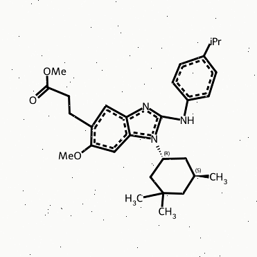 COC(=O)CCc1cc2nc(Nc3ccc(C(C)C)cc3)n([C@@H]3C[C@@H](C)CC(C)(C)C3)c2cc1OC